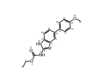 CCOC(=O)Nc1nc2cc(-c3ccc(OC)cc3)ccc2[nH]1